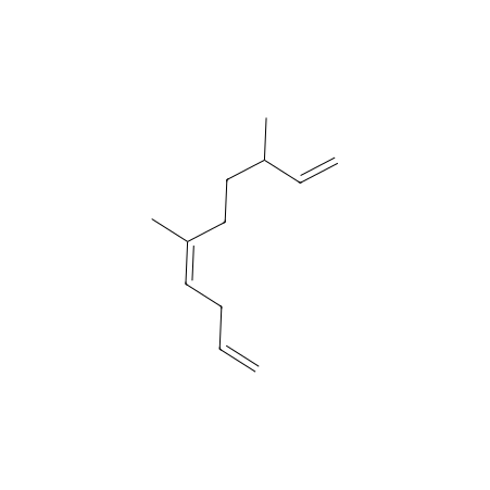 C=CCC=C(C)CCC(C)C=C